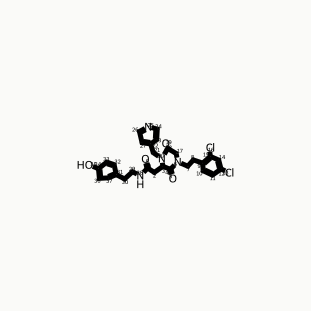 O=C(CC1C(=O)N(CCc2ccc(Cl)cc2Cl)CC(=O)N1Cc1ccncc1)NCCc1ccc(O)cc1